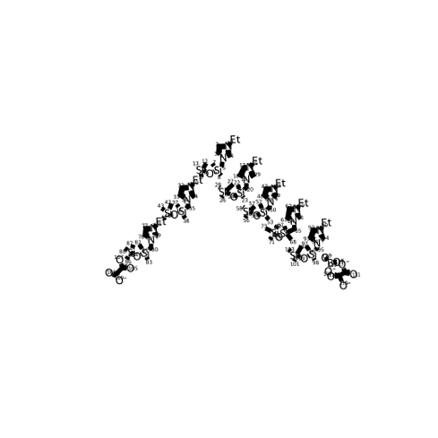 CCn1cc[n+](C[Si](C)(C)O[Si](C)(C)C)c1.CCn1cc[n+](C[Si](C)(C)O[Si](C)(C)C)c1.CCn1cc[n+](C[Si](C)(C)O[Si](C)(C)C)c1.CCn1cc[n+](C[Si](C)(C)O[Si](C)(C)C)c1.CCn1cc[n+](C[Si](C)(C)O[Si](C)(C)C)c1.CCn1cc[n+](C[Si](C)(C)O[Si](C)(C)C)c1.CCn1cc[n+](C[Si](C)(C)O[Si](C)(C)C)c1.O=C([O-])C(=O)[O-].O=C([O-])C(=O)[O-].[O-]B([O-])[O-]